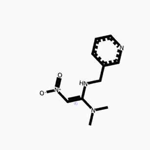 CN(C)/C(=C/[N+](=O)[O-])NCc1cccnc1